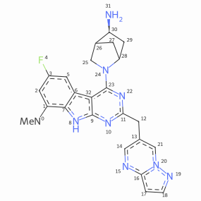 CNc1cc(F)cc2c1[nH]c1nc(Cc3cnc4ccnn4c3)nc(N3CC4CC3C[C@@H]4N)c12